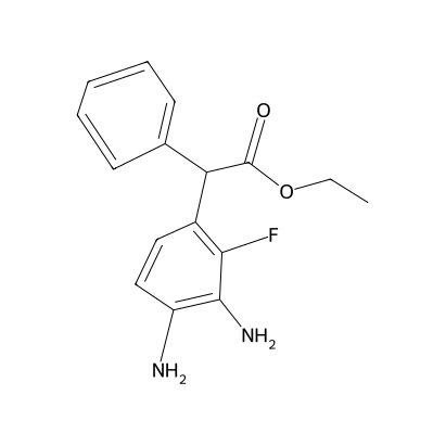 CCOC(=O)C(c1ccccc1)c1ccc(N)c(N)c1F